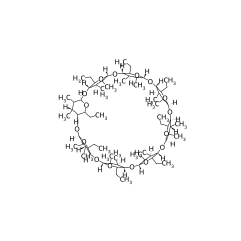 CCC1O[C@@H]2O[C@@H]3C(CC)O[C@H](O[C@@H]4C(CC)O[C@H](O[C@@H]5C(CC)O[C@H](O[C@@H]6C(CC)O[C@@H](O[C@@H]7C(CC)O[C@H](O[C@@H]8C(CC)O[C@H](O[C@@H]9C(CC)O[C@H](O[C@H]1[C@H](C)C2C)C(C)[C@H]9C)C(C)[C@H]8C)C(C)[C@H]7C)C(C)[C@H]6C)C(C)[C@H]5C)C(C)[C@H]4C)C(C)[C@H]3C